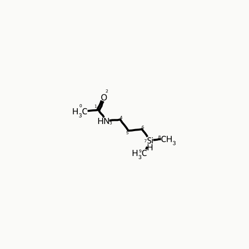 CC(=O)NCCC[SiH](C)C